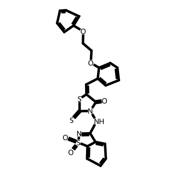 O=C1/C(=C\c2ccccc2OCCOc2ccccc2)SC(=S)N1NC1=NS(=O)(=O)c2ccccc21